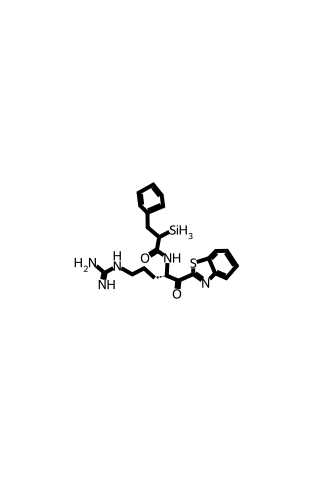 N=C(N)NCCC[C@H](NC(=O)C([SiH3])Cc1ccccc1)C(=O)c1nc2ccccc2s1